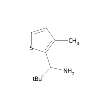 Cc1ccsc1[C@H](N)C(C)(C)C